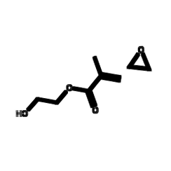 C1CO1.C=C(C)C(=O)OCCO